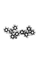 c1ccc(-c2nc(-c3ccccc3)nc(-c3cccc4sc5cc(-c6ccc7oc8c(-n9c%10ccccc%10c%10ccccc%109)cccc8c7c6)ccc5c34)n2)cc1